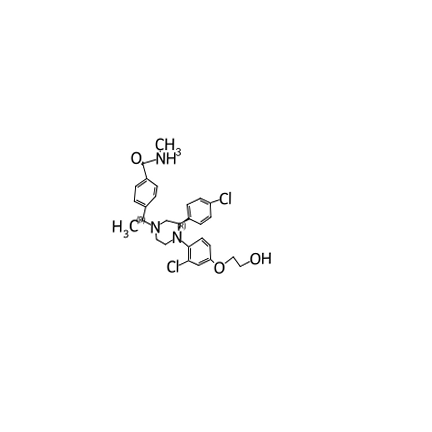 CNC(=O)c1ccc([C@@H](C)N2CCN(c3ccc(OCCO)cc3Cl)[C@H](c3ccc(Cl)cc3)C2)cc1